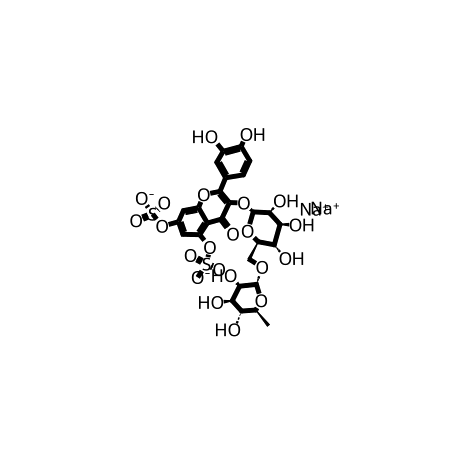 C[C@@H]1O[C@@H](OC[C@H]2O[C@@H](Oc3c(-c4ccc(O)c(O)c4)oc4cc(OS(=O)(=O)[O-])cc(OS(=O)(=O)[O-])c4c3=O)[C@H](O)[C@@H](O)[C@@H]2O)[C@H](O)[C@H](O)[C@H]1O.[Na+].[Na+]